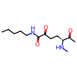 CCCCCNC(=O)C(=O)CC[C@H](NC)C(C)=O